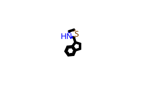 c1ccc2c(c1)CC[C]2C1NCCS1